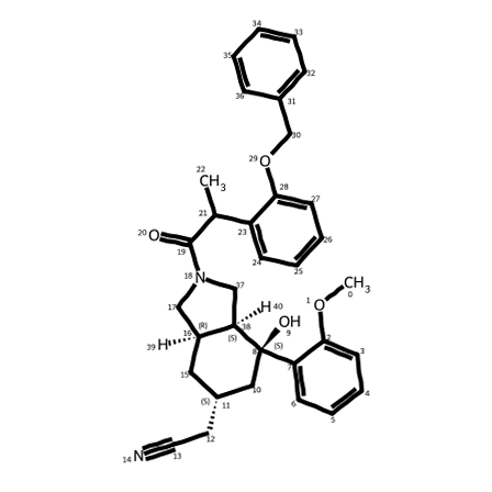 COc1ccccc1[C@]1(O)C[C@H](CC#N)C[C@H]2CN(C(=O)C(C)c3ccccc3OCc3ccccc3)C[C@H]21